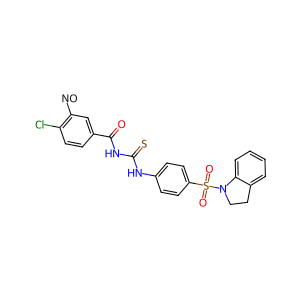 O=Nc1cc(C(=O)NC(=S)Nc2ccc(S(=O)(=O)N3CCc4ccccc43)cc2)ccc1Cl